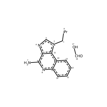 CC(C)Cn1cnc2c(N)nc3ccccc3c21.O=CO